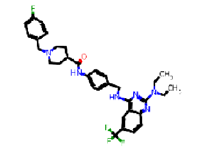 CCN(CC)c1nc(NCc2ccc(NC(=O)C3CCN(Cc4ccc(F)cc4)CC3)cc2)c2cc(C(F)(F)F)ccc2n1